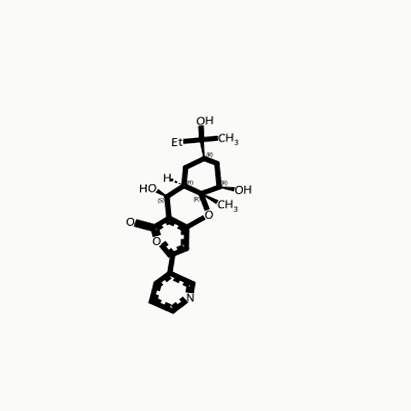 CCC(C)(O)[C@H]1C[C@@H](O)[C@]2(C)Oc3cc(-c4cccnc4)oc(=O)c3[C@@H](O)[C@H]2C1